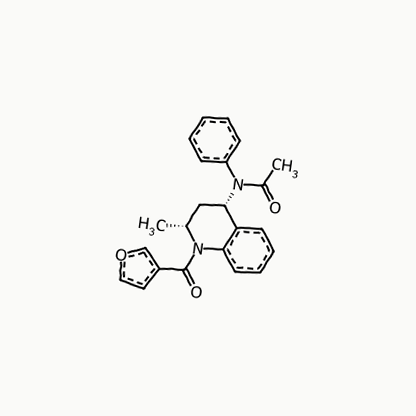 CC(=O)N(c1ccccc1)[C@H]1C[C@@H](C)N(C(=O)c2ccoc2)c2ccccc21